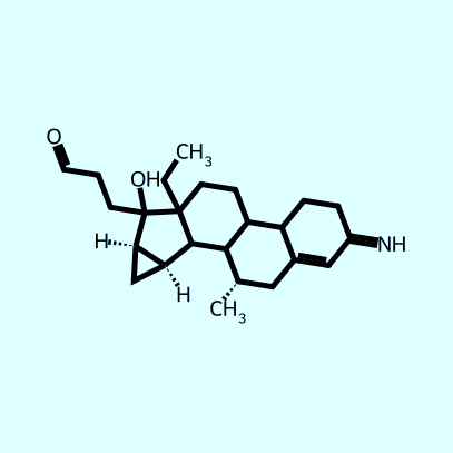 CCC12CCC3C4CCC(=N)C=C4C[C@H](C)C3C1[C@H]1C[C@H]1C2(O)CCC=O